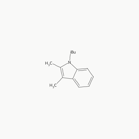 CCC(C)n1c(C)c(C)c2ccccc21